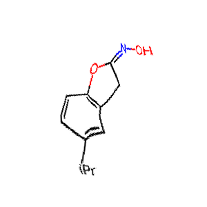 CC(C)c1ccc2c(c1)CC(=NO)O2